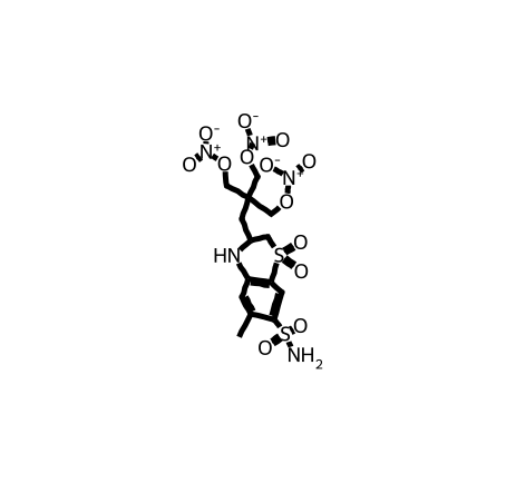 Cc1cc2c(cc1S(N)(=O)=O)S(=O)(=O)CC(CC(CO[N+](=O)[O-])(CO[N+](=O)[O-])CO[N+](=O)[O-])N2